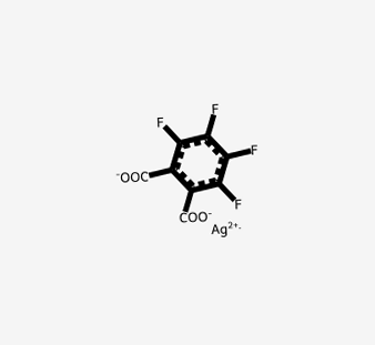 O=C([O-])c1c(F)c(F)c(F)c(F)c1C(=O)[O-].[Ag+2]